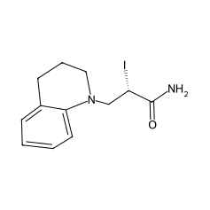 NC(=O)[C@@H](I)CN1CCCc2ccccc21